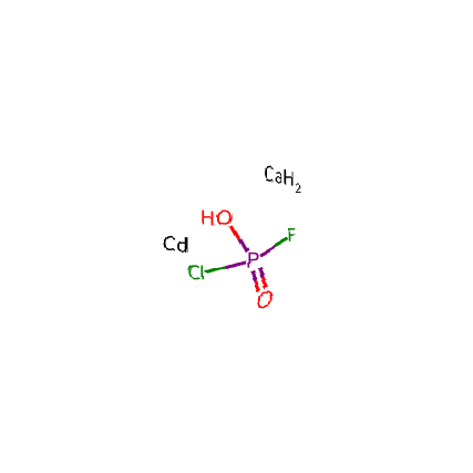 O=P(O)(F)Cl.[CaH2].[Cd]